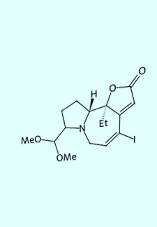 CC[C@]12OC(=O)C=C1C(I)=CCN1C(C(OC)OC)CC[C@@H]12